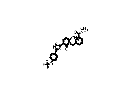 CNC(=O)c1cccc(Cn2c(C)ccc(-c3nc(-c4ccc(OC(F)(F)F)cc4)no3)c2=O)c1